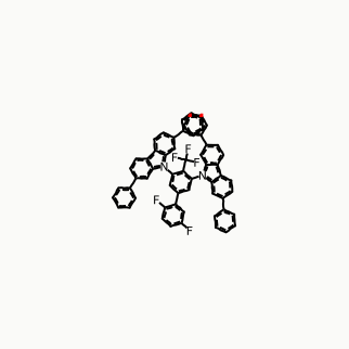 Fc1ccc(F)c(-c2cc(-n3c4cc(-c5ccccc5)ccc4c4ccc(-c5ccccc5)cc43)c(C(F)(F)F)c(-n3c4cc(-c5ccccc5)ccc4c4ccc(-c5ccccc5)cc43)c2)c1